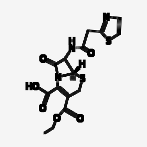 CCOC(=O)C1=C(C(=O)O)N2C(=O)C(NC(=O)Cc3nccs3)[C@@H]2SC1